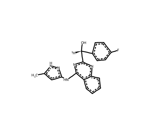 [3H][C@@](O)(c1ccc(F)cc1)c1nc(Nc2cc(C)[nH]n2)c2ccccc2n1